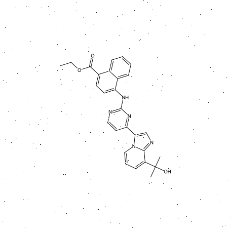 CCOC(=O)c1ccc(Nc2nccc(-c3cnc4c(C(C)(C)O)cccn34)n2)c2ccccc12